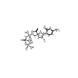 C=C(Cl)[C@@]1(COP(=O)(O)OP(=O)(O)OP(=O)(O)O)C[C@@H](F)[C@H](n2ccc(N)nc2=O)O1